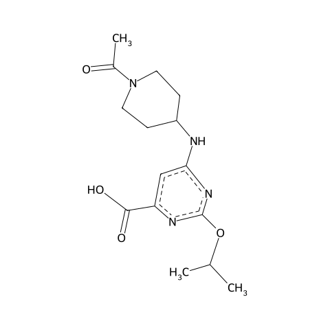 CC(=O)N1CCC(Nc2cc(C(=O)O)nc(OC(C)C)n2)CC1